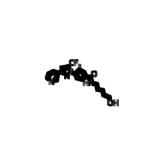 O=C(NCCCCCO)c1ccc(-n2nc(-c3cccnc3)cc2C(F)(F)F)cc1